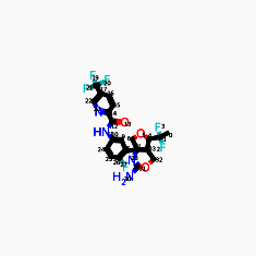 CC(F)(F)C1OCC2(c3cc(NC(=O)c4ccc(C(F)(F)F)cn4)ccc3F)N=C(N)OCC12